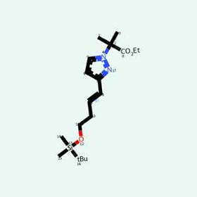 CCOC(=O)C(C)(C)n1ccc(/C=C/CCO[Si](C)(C)C(C)(C)C)n1